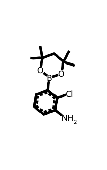 CC1(C)CC(C)(C)OB(c2cccc(N)c2Cl)O1